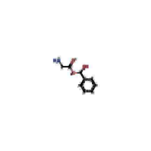 NCC(=O)OC(O)c1ccccc1